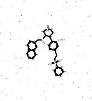 Cl.O=S(=O)(CCc1ccc(C2CCNCC2OCc2ccc3ccccc3c2)cc1)c1ccccc1